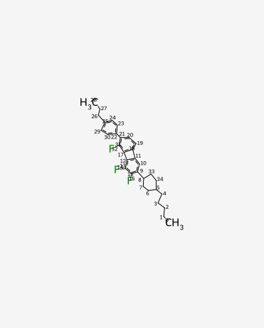 CCCCCC1CCC(c2cc3c(c(F)c2F)-c2c-3ccc(-c3ccc(CCC)cc3)c2F)CC1